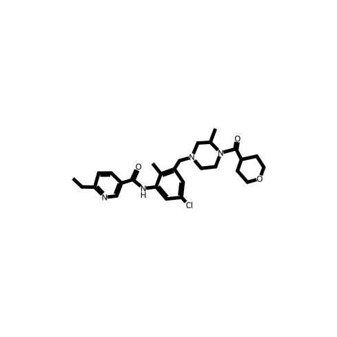 CCc1ccc(C(=O)Nc2cc(Cl)cc(CN3CCN(C(=O)C4CCOCC4)C(C)C3)c2C)cn1